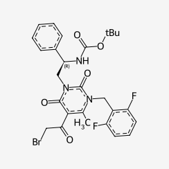 Cc1c(C(=O)CBr)c(=O)n(C[C@H](NC(=O)OC(C)(C)C)c2ccccc2)c(=O)n1Cc1c(F)cccc1F